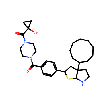 O=C(c1ccc(C2CC3(C4CCCCCCCC4)CCNC3S2)cc1)N1CCN(C(=O)C2(O)CC2)CC1